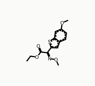 CCOC(=O)/C(=N/OC)c1cc2ccc(OC)cc2s1